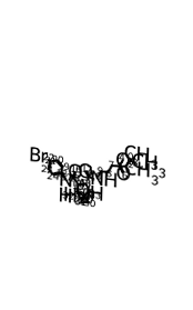 CC(C)(C)OC(=O)CCCNC(=O)[C@H]1[C@H](C(=O)Nc2ccc(Br)cc2)[C@@H]2C=C[C@H]1C21CC1